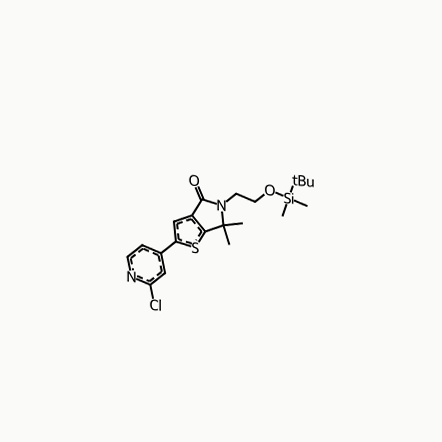 CC1(C)c2sc(-c3ccnc(Cl)c3)cc2C(=O)N1CCO[Si](C)(C)C(C)(C)C